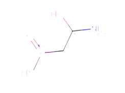 CCC[PH](=O)CC(N)O